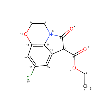 CCOC(=O)C1C(=O)N2CCOc3cc(Cl)cc1c32